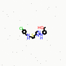 CC(O)c1cccc(Nc2nccc(-c3ccc(CNCc4ccc(Cl)cc4)s3)n2)c1